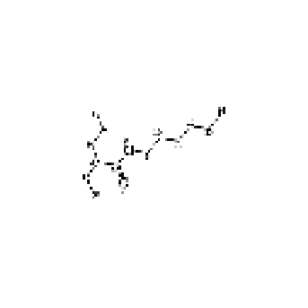 [CH2]CC(CCC)C(=O)OCCCCCC